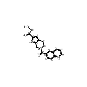 O=C(NO)c1cc2c(s1)CN(C(=O)c1ccc3ncccc3c1)CC2